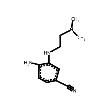 CN(C)CCNc1cc(C#N)ccc1N